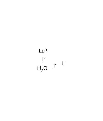 O.[I-].[I-].[I-].[Lu+3]